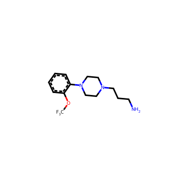 NCCCN1CCN(c2ccccc2OC(F)(F)F)CC1